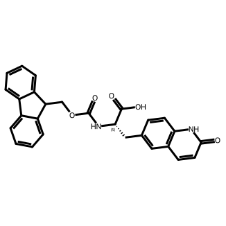 O=C(N[C@@H](Cc1ccc2[nH]c(=O)ccc2c1)C(=O)O)OCC1c2ccccc2-c2ccccc21